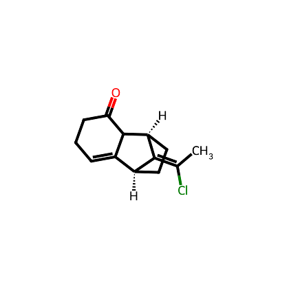 C/C(Cl)=C1/[C@H]2CC[C@@H]1C1C(=O)CCC=C12